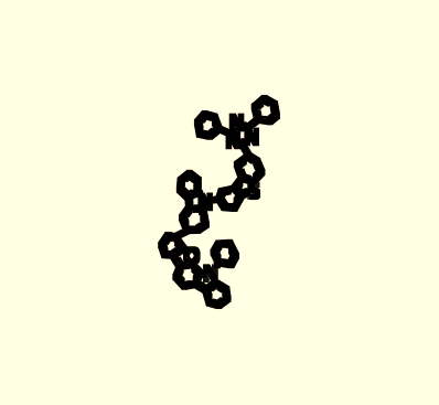 c1ccc(-c2nc(-c3ccccc3)nc(-c3ccc4sc5ccc(-n6c7ccccc7c7cc(-c8cccc9c8oc8c9ccc9c%10ccccc%10n(-c%10ccccc%10)c98)ccc76)cc5c4c3)n2)cc1